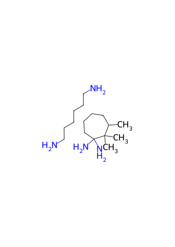 CC1CCCCC(N)(N)C1(C)C.NCCCCCCN